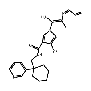 C=C/C=N\C(C)=C(/N)n1cc(C(=O)NCC2(c3cccnc3)CCCCC2)c(C(F)(F)F)n1